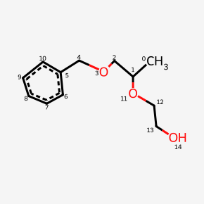 CC(COCc1ccccc1)OCCO